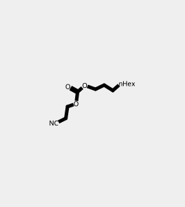 CCCCCCCCCOC(=O)OCCC#N